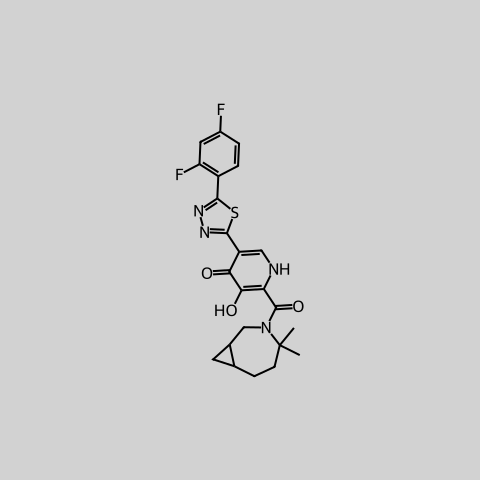 CC1(C)CCC2CC2CN1C(=O)c1[nH]cc(-c2nnc(-c3ccc(F)cc3F)s2)c(=O)c1O